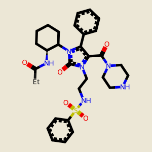 CCC(=O)N[C@H]1CCCCC1n1c(-c2ccccc2)c(C(=O)N2CCNCC2)n(CCNS(=O)(=O)c2ccccc2)c1=O